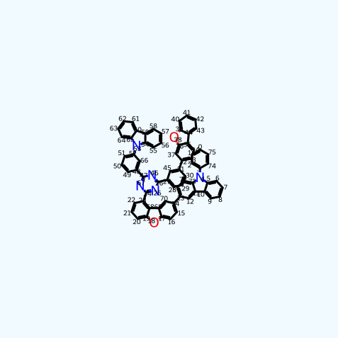 c1ccc(-n2c3ccccc3c3cc(-c4ccc5oc6cccc(-c7nc(-c8cccc(-c9ccc%10c(c9)oc9ccccc9%10)c8)nc(-c8cccc(-n9c%10ccccc%10c%10ccccc%109)c8)n7)c6c5c4)ccc32)cc1